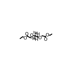 [2H]C([2H])(OCC(=O)OCC)C([2H])([2H])OCC(=O)OCC